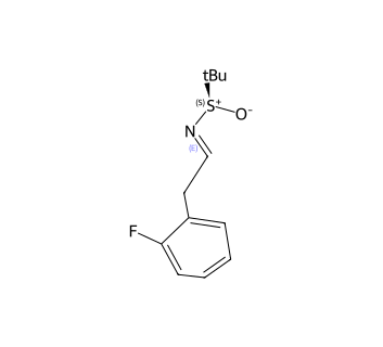 CC(C)(C)[S@@+]([O-])/N=C/Cc1ccccc1F